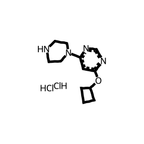 Cl.Cl.c1nc(OC2CCC2)cc(N2CCNCC2)n1